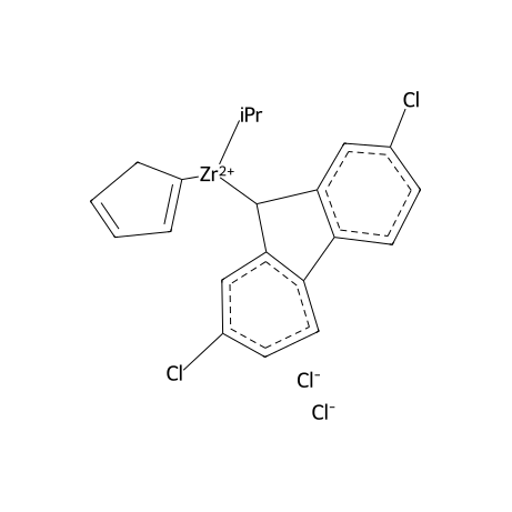 C[CH](C)[Zr+2]([C]1=CC=CC1)[CH]1c2cc(Cl)ccc2-c2ccc(Cl)cc21.[Cl-].[Cl-]